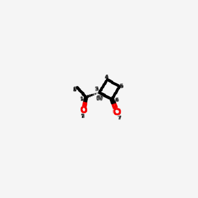 CC(=O)[C@@H]1CCC1=O